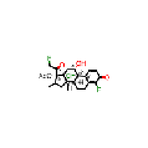 CC(=O)O[C@@]1(C(=O)CF)C(C)C[C@H]2[C@@H]3CCC4=C(F)C(=O)C=C[C@]4(C)[C@@]3(Cl)[C@@H](O)C[C@@]21C